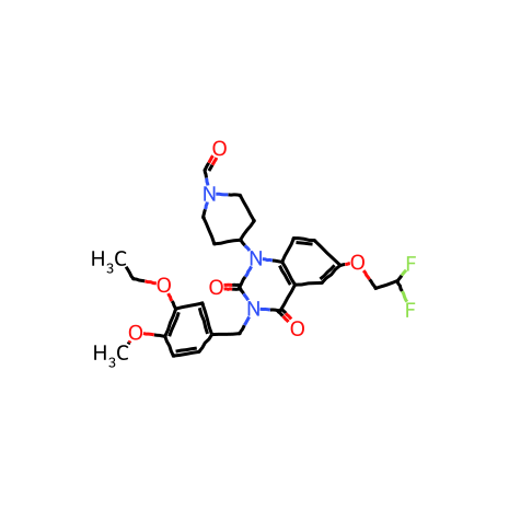 CCOc1cc(Cn2c(=O)c3cc(OCC(F)F)ccc3n(C3CCN(C=O)CC3)c2=O)ccc1OC